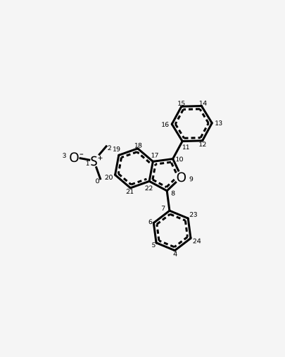 C[S+](C)[O-].c1ccc(-c2oc(-c3ccccc3)c3ccccc23)cc1